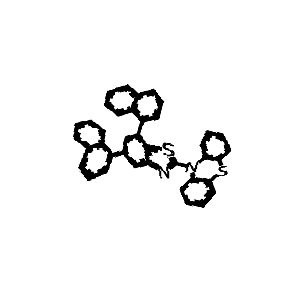 c1ccc2c(c1)Sc1ccccc1N2c1nc2cc(-c3cccc4ccccc34)cc(-c3cccc4ccccc34)c2s1